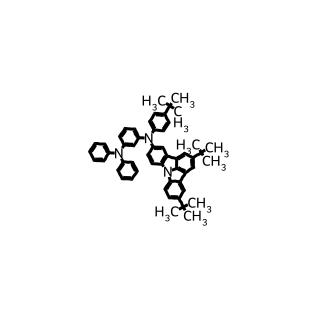 CC(C)(C)c1ccc(N(c2cccc(N(c3ccccc3)c3ccccc3)c2)c2ccc3c(c2)c2cc(C(C)(C)C)cc4c5cc(C(C)(C)C)ccc5n3c24)cc1